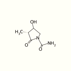 C[C@H]1C(=O)N(C(N)=O)CC1O